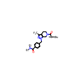 CCN(CC)C(=O)c1ccc(Cn2nc(C(F)(F)F)c3c2CN(C(=O)BC(C)(C)C)CC3)cc1